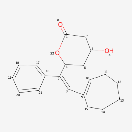 O=C1CC(O)CC(C(=CC2=CCCCCC2)c2ccccc2)O1